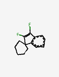 FC1=C(F)C2(CCCCC2)c2ccccc21